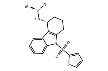 CC(C)(C)[S@@+]([O-])N[C@@H]1CCCc2c1c1ccccc1n2S(=O)(=O)c1cccs1